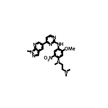 COc1cc(N(C)CCN(C)C)c([N+](=O)[O-])cc1Nc1nccc(-c2cnc3c(cnn3C)c2)n1